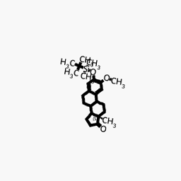 COc1cc2c(cc1O[Si](C)(C)C(C)(C)C)CCC1C2CC[C@]2(C)C(=O)CCC12